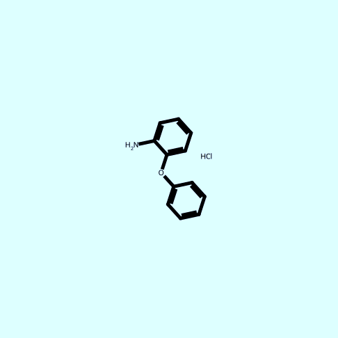 Cl.Nc1ccccc1Oc1ccccc1